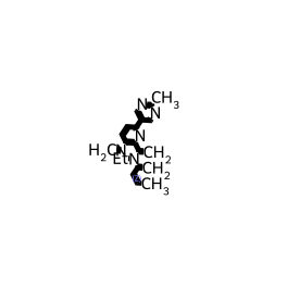 C=Nc1ccc(-c2cnc(C)nc2)nc1C(=C)N(CC)C(=C)/C=C\C